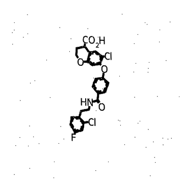 O=C(NCCc1ccc(F)cc1Cl)c1ccc(Oc2cc3c(cc2Cl)C(C(=O)O)CCO3)cc1